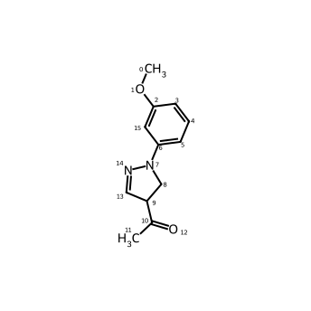 COc1cccc(N2CC(C(C)=O)C=N2)c1